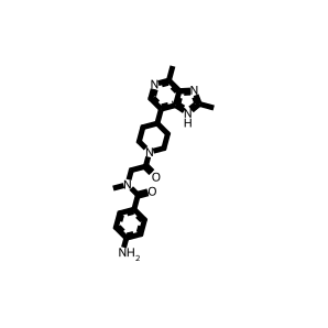 Cc1nc2c(C)ncc(C3CCN(C(=O)CN(C)C(=O)c4ccc(N)cc4)CC3)c2[nH]1